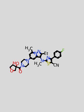 CCc1nn2c(C)cc(N3CCN(C(=O)C4(O)CCOC4)CC3)cc2c1N(C)c1nc(-c2ccc(F)cc2)c(C#N)s1